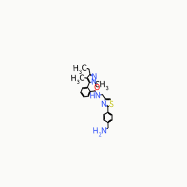 CCc1nn(C)c(-c2ccccc2C(=O)NCc2csc(-c3ccc(CN)cc3)n2)c1C